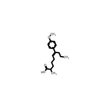 CCC/C(=C\CCCC(C)C(=O)O)c1ccc(OC)cc1